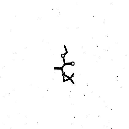 C=C(C(=O)OCC)N1CC1(C)C